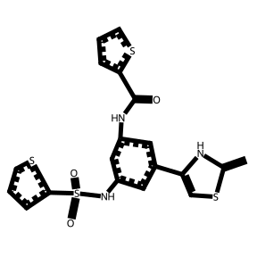 C=C1NC(c2cc(NC(=O)c3cccs3)cc(NS(=O)(=O)c3cccs3)c2)=CS1